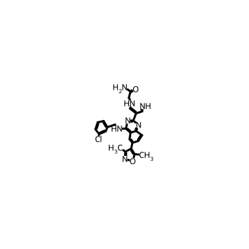 Cc1noc(C)c1-c1ccc2nc(/C(C=N)=C/NCC(N)=O)nc(NCc3cccc(Cl)c3)c2c1